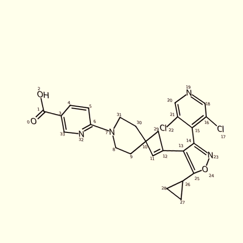 O=C(O)c1ccc(N2CCC3(C=C(c4c(-c5c(Cl)cncc5Cl)noc4C4CC4)C3)CC2)nc1